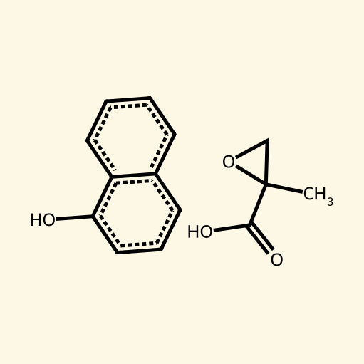 CC1(C(=O)O)CO1.Oc1cccc2ccccc12